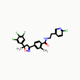 Cc1cc(C2=NOC(C)(c3cc(F)c(F)c(F)c3)C2)ccc1C(=O)NCCc1ccc(Cl)nc1